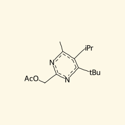 CC(=O)OCc1nc(C)c(C(C)C)c(C(C)(C)C)n1